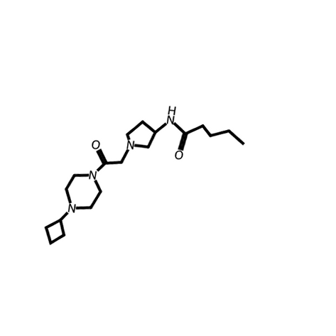 CCCCC(=O)NC1CCN(CC(=O)N2CCN(C3CCC3)CC2)C1